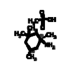 CS(=O)(=O)O.C[C@H]1CC(C)(C)C[C@@](C)(N)C1